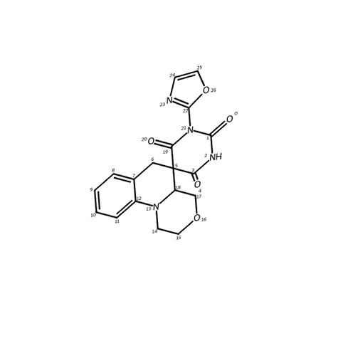 O=C1NC(=O)C2(Cc3ccccc3N3CCOCC32)C(=O)N1c1ncco1